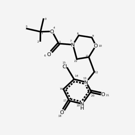 CC(C)(C)OC(=O)N1CCOC(Cn2c(Cl)cc(=O)[nH]c2=O)C1